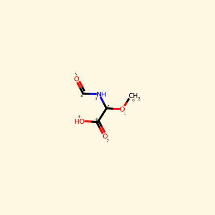 COC(NC=O)C(=O)O